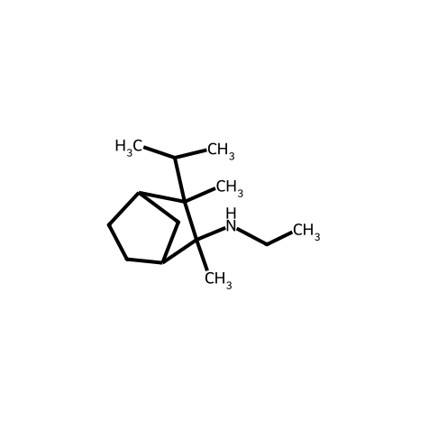 CCNC1(C)C2CCC(C2)C1(C)C(C)C